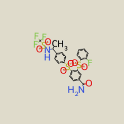 C[C@H](NS(=O)(=O)C(F)(F)F)c1ccc(S(=O)(=O)c2ccc(C(N)=O)cc2S(=O)(=O)c2ccccc2F)cc1